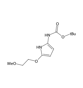 COCCOc1ccc(NC(=O)OC(C)(C)C)[nH]1